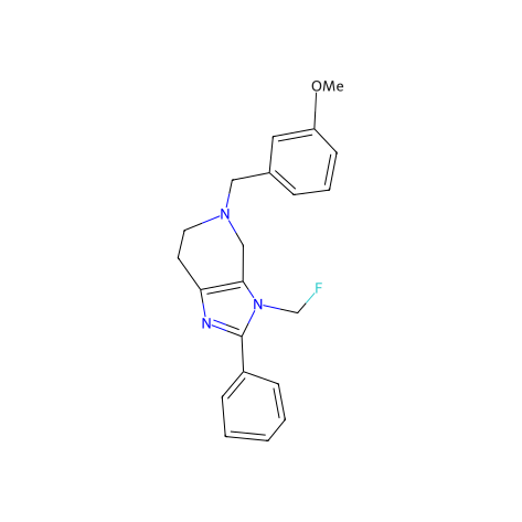 COc1cccc(CN2CCc3nc(-c4ccccc4)n(CF)c3C2)c1